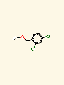 CCCOCc1ccc(Cl)cc1Cl